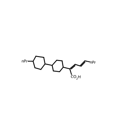 CCCC=CC=C(C(=O)O)C1CCC(C2CCC(CCC)CC2)CC1